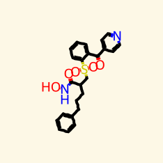 O=C(c1ccncc1)c1ccccc1S(=O)(=O)CC(CCCc1ccccc1)C(=O)NO